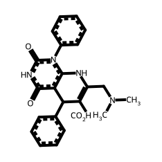 CN(C)CC1=C(C(=O)O)C(c2ccccc2)c2c(n(-c3ccccc3)c(=O)[nH]c2=O)N1